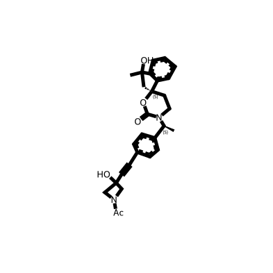 CC(=O)N1CC(O)(C#Cc2ccc([C@H](C)N3CC[C@](CC(C)(C)O)(c4ccccc4)OC3=O)cc2)C1